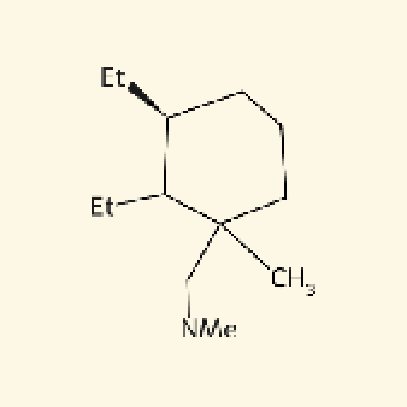 CCC1[C@@H](CC)CCCC1(C)CNC